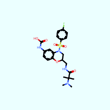 CN(C)C(C)(C)C(=O)NCC1CN(S(=O)(=O)c2ccc(F)cc2)c2cc(NC(=O)O)ccc2O1